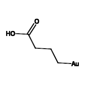 O=C(O)CC[CH2][Au]